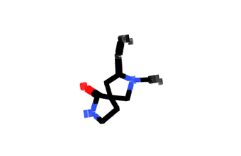 C=C=C1CC2(CCNC2=O)CN1C